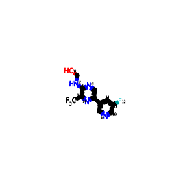 OCNc1ncc(-c2cncc(F)c2)nc1C(F)(F)F